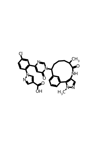 CC1CCCC(n2cnc(-c3cc(Cl)ccc3-n3cc(C(=O)O)cn3)cc2=O)c2cccc(c2)-c2c(cnn2C)NC1=O